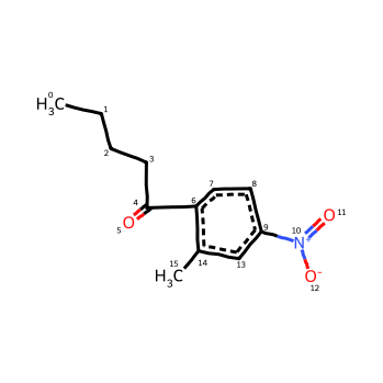 CCCCC(=O)c1ccc([N+](=O)[O-])cc1C